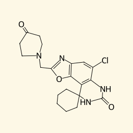 O=C1CCN(Cc2nc3cc(Cl)c4c(c3o2)C2(CCCCC2)NC(=O)N4)CC1